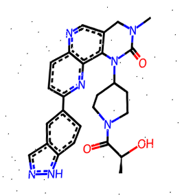 C[C@H](O)C(=O)N1CCC(N2C(=O)N(C)Cc3cnc4ccc(-c5ccc6[nH]ncc6c5)nc4c32)CC1